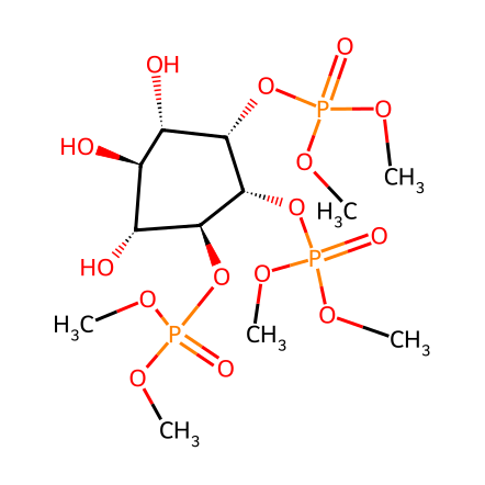 COP(=O)(OC)O[C@@H]1[C@@H](OP(=O)(OC)OC)[C@H](O)[C@@H](O)[C@H](O)[C@@H]1OP(=O)(OC)OC